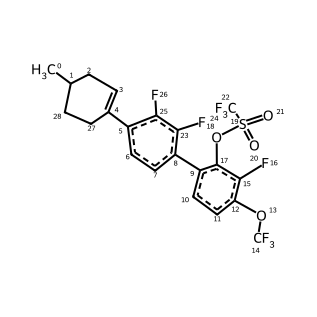 CC1CC=C(c2ccc(-c3ccc(OC(F)(F)F)c(F)c3OS(=O)(=O)C(F)(F)F)c(F)c2F)CC1